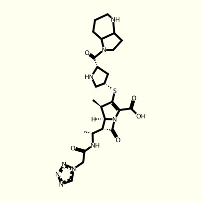 C[C@@H](NC(=O)Cn1cnnn1)[C@H]1C(=O)N2C(C(=O)O)=C(S[C@@H]3CN[C@H](C(=O)N4CCC5NCCCC54)C3)[C@H](C)[C@H]12